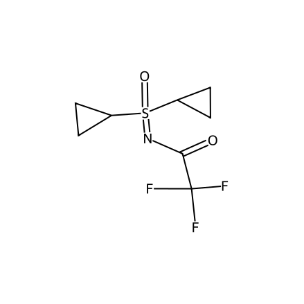 O=C(N=S(=O)(C1CC1)C1CC1)C(F)(F)F